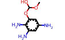 COC(O)Oc1cc(N)cc(N)c1N